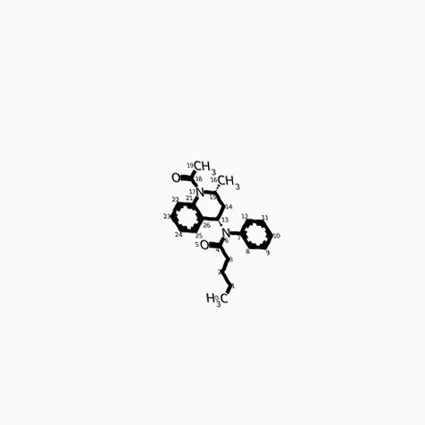 CCCCC(=O)N(c1ccccc1)[C@H]1C[C@@H](C)N(C(C)=O)c2ccccc21